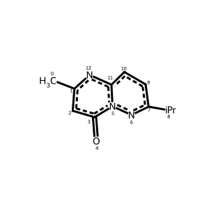 Cc1cc(=O)n2nc(C(C)C)ccc2n1